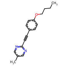 CCCCOc1ccc(C#Cc2ncc(C)cn2)cc1